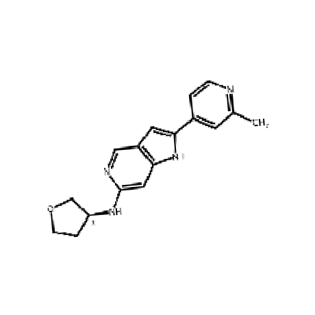 Cc1cc(-c2cc3cnc(N[C@H]4CCOC4)cc3[nH]2)ccn1